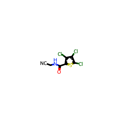 N#CCNC(=O)c1sc(Cl)c(Cl)c1Cl